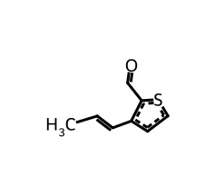 CC=Cc1ccsc1C=O